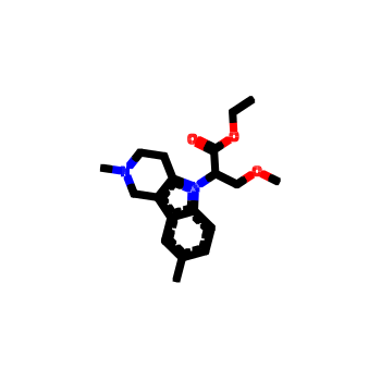 CCOC(=O)C(COC)n1c2c(c3cc(C)ccc31)CN(C)CC2